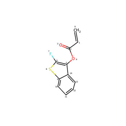 C=CC(=O)Oc1c(F)sc2ccccc12